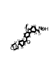 CCn1c2ccc(C(=O)c3ccc(N4CCOCC4)cc3)cc2c2cc(C(C)=NO)ccc21